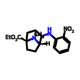 CCOC(=O)[C@]12CC[C@@H](Nc3ccccc3[N+](=O)[O-])[C@H](CC1)N2C